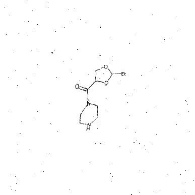 [CH2]CC1OCC(C(=O)N2CCNCC2)O1